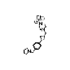 CCS(=O)(=O)N1CCN(CC2CC(c3ccc(CN4CCCC4)cc3)C2)CC1